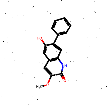 COc1cc2cc(O)c(-c3ccccc3)cc2[nH]c1=O